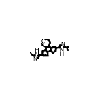 CCc1ncc(-c2ccc3c(c2)c2c(c4cc(-c5cnc(C(C)C)[nH]5)ccc43)CCCCCC2)[nH]1